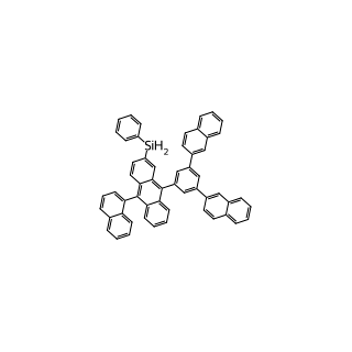 c1ccc([SiH2]c2ccc3c(-c4cccc5ccccc45)c4ccccc4c(-c4cc(-c5ccc6ccccc6c5)cc(-c5ccc6ccccc6c5)c4)c3c2)cc1